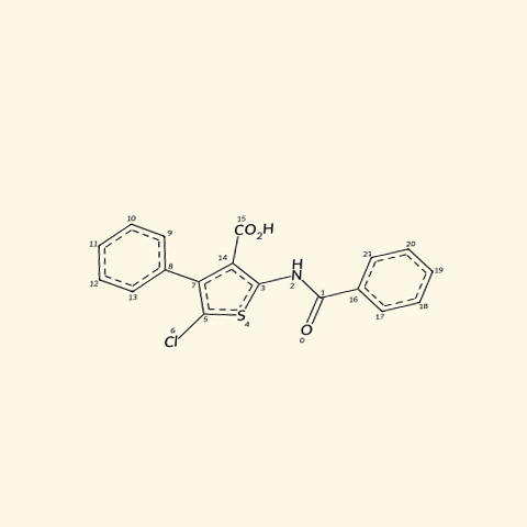 O=C(Nc1sc(Cl)c(-c2ccccc2)c1C(=O)O)c1ccccc1